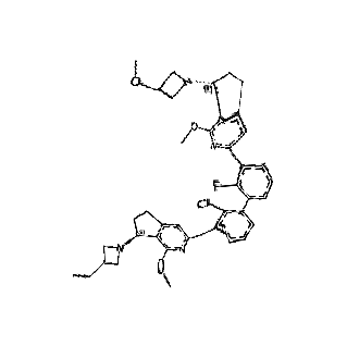 CCC1CN([C@H]2CCc3cc(-c4cccc(-c5cccc(-c6cc7c(c(OC)n6)[C@H](N6CC(OC)C6)CC7)c5F)c4Cl)nc(OC)c32)C1